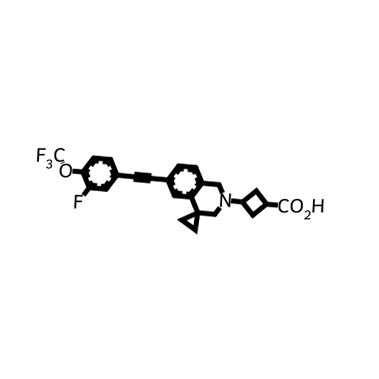 O=C(O)C1CC(N2Cc3ccc(C#Cc4ccc(OC(F)(F)F)c(F)c4)cc3C3(CC3)C2)C1